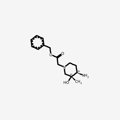 C[C@@]1(O)CN(CC(=O)OCc2ccccc2)CC[C@H]1N